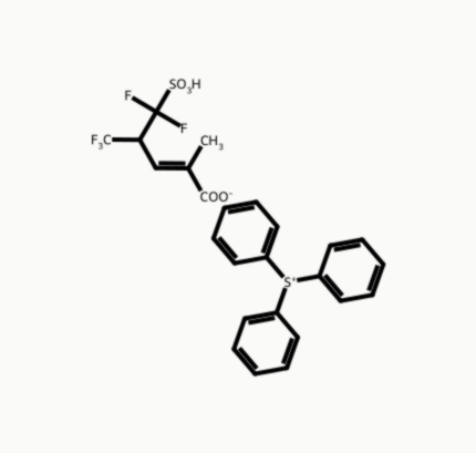 CC(=CC(C(F)(F)F)C(F)(F)S(=O)(=O)O)C(=O)[O-].c1ccc([S+](c2ccccc2)c2ccccc2)cc1